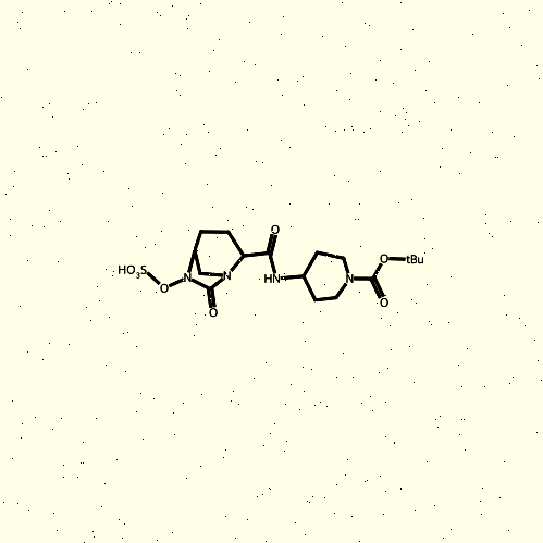 CC(C)(C)OC(=O)N1CCC(NC(=O)C2CCC3CN2C(=O)N3OS(=O)(=O)O)CC1